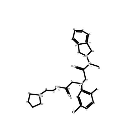 Cc1ccc(Cl)cc1N(CC(=O)NCCN1CCCC1)CC(=O)N(C)N1Cc2ccccc2C1